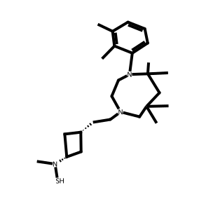 Cc1cccc(N2CCN(CC[C@H]3C[C@@H](N(C)S)C3)CC(C)(C)CC2(C)C)c1C